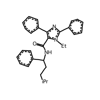 CCn1c(-c2ccccc2)nc(-c2ccccc2)c1C(=O)NC(CCC(C)C)c1ccccc1